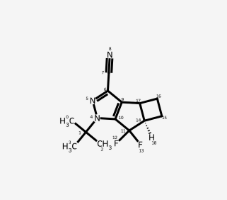 CC(C)(C)n1nc(C#N)c2c1C(F)(F)[C@@H]1CCC21